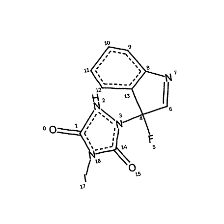 O=c1[nH]n(C2(F)C=Nc3ccccc32)c(=O)n1I